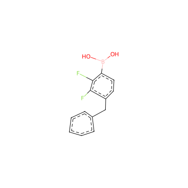 OB(O)c1ccc(Cc2ccccc2)c(F)c1F